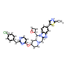 Cc1ncc(-c2ccc3c(c2)nc(CN2CCC(Oc4ccnc(Cc5ccc(Cl)cc5)n4)CC2)n3C[C@@H]2CCO2)s1